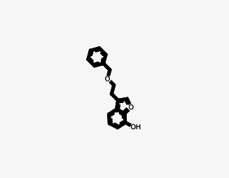 Oc1cccc2c(CCOCc3ccccc3)coc12